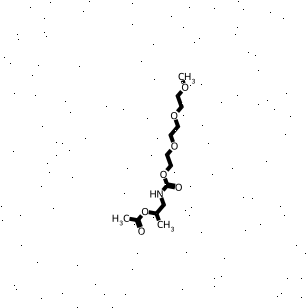 COCCOCCOCCOC(=O)NCC(C)OC(C)=O